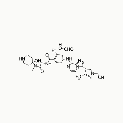 CCc1cc(Nc2nccn3c(-c4cn(CC#N)nc4C(F)(F)F)cnc23)ccc1C(=O)NCC(=O)N(C)C1(O)CCNCC1.O=CO